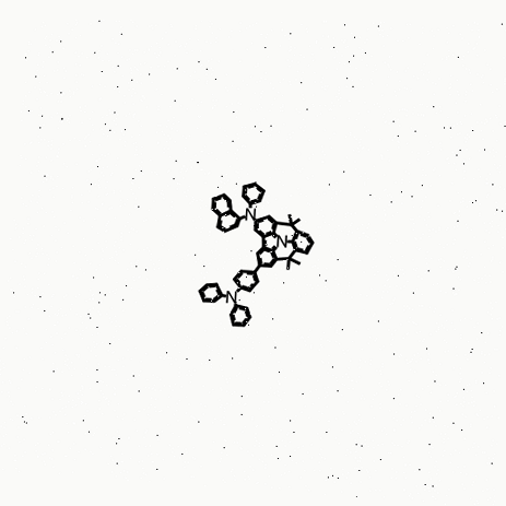 CC1(C)c2cccc3c2-n2c4c1cc(-c1ccc(N(c5ccccc5)c5ccccc5)cc1)cc4c1cc(N(c4ccccc4)c4cccc5ccccc45)cc(c12)C3(C)C